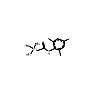 CCCC[PH](CCCC)(CCCC)CC(=O)Nc1c(C)cc(F)cc1C